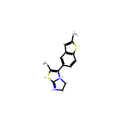 CCCC1=C(c2ccc3sc(C)cc3c2)N2CCN=C2S1